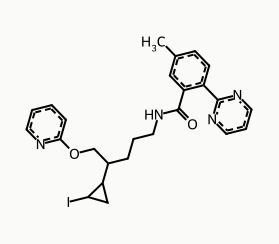 Cc1ccc(-c2ncccn2)c(C(=O)NCCCC(COc2ccccn2)C2CC2I)c1